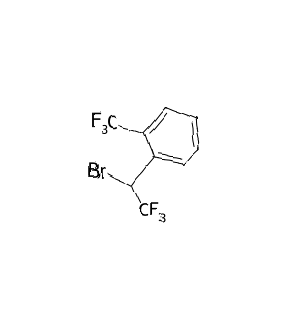 FC(F)(F)c1ccccc1C(Br)C(F)(F)F